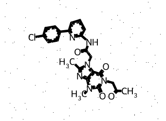 CC(=O)Cn1c(=O)c2c(nc(C)n2CC(=O)Nc2cccc(-c3ccc(Cl)cc3)n2)n(C)c1=O